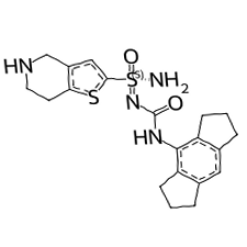 N[S@](=O)(=NC(=O)Nc1c2c(cc3c1CCC3)CCC2)c1cc2c(s1)CCNC2